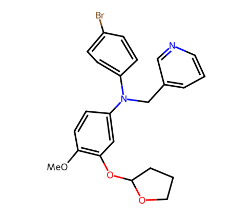 COc1ccc(N(Cc2cccnc2)c2ccc(Br)cc2)cc1OC1CCCO1